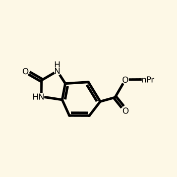 CCCOC(=O)c1ccc2[nH]c(=O)[nH]c2c1